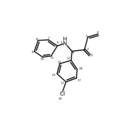 C=CC(=C)C(Nc1ccccc1)c1ccc(Cl)cc1